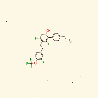 CCc1ccc(-c2c([O])cc(F)c(CCc3ccc(OC(F)(F)F)c(F)c3)c2F)cc1